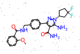 COc1ccccc1C(=O)NCc1ccc(-c2nn(C3CCC(F)(F)C3)c(N)c2C(N)=O)cc1